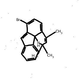 CC1=CC(C)(C)NC23C1=CC=C(Br)C2=Cc1ccccc13